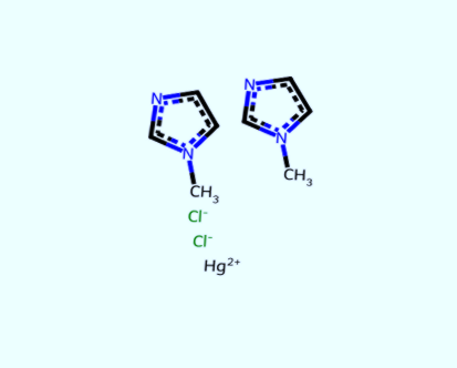 Cn1ccnc1.Cn1ccnc1.[Cl-].[Cl-].[Hg+2]